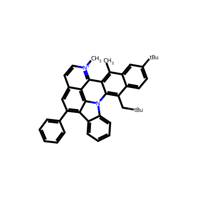 Cc1c2cc(C(C)(C)C)ccc2c(CC(C)(C)C)c2c1c1c3c(cc[n+]1C)cc(-c1ccccc1)c1c4ccccc4n2c13